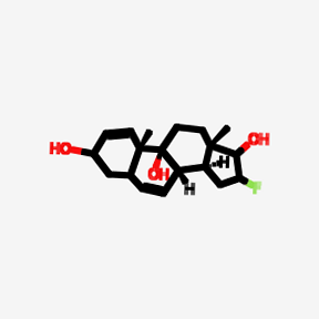 C[C@]12C=CC(O)CC1C=C[C@H]1[C@@H]3CC(F)C(O)[C@@]3(C)CC[C@]12O